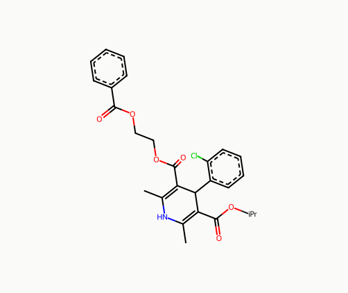 CC1=C(C(=O)OCCOC(=O)c2ccccc2)C(c2ccccc2Cl)C(C(=O)OC(C)C)=C(C)N1